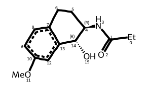 CCC(=O)N[C@@H]1CCc2ccc(OC)cc2[C@H]1O